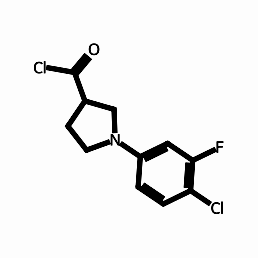 O=C(Cl)C1CCN(c2ccc(Cl)c(F)c2)C1